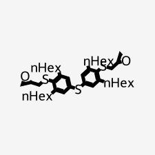 CCCCCCc1cc(Sc2cc(CCCCCC)c(SCC3CO3)c(CCCCCC)c2)cc(CCCCCC)c1SCC1CO1